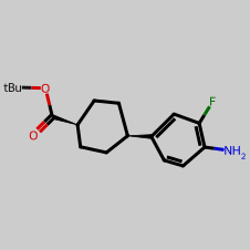 CC(C)(C)OC(=O)[C@H]1CC[C@@H](c2ccc(N)c(F)c2)CC1